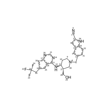 N#Cc1cc2cc(CN3CC[C@H](Nc4ncnc5sc(CC(F)(F)F)cc45)[C@H](CO)C3)ccc2[nH]1